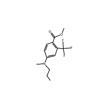 CCCN(C)c1ccc(C(=O)OC)c(C(F)(F)F)c1